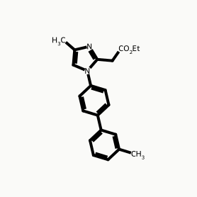 CCOC(=O)Cc1nc(C)cn1-c1ccc(-c2cccc(C)c2)cc1